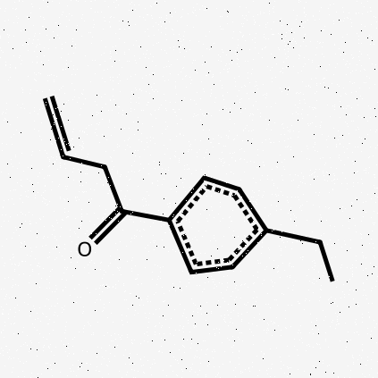 C=CCC(=O)c1ccc(CC)cc1